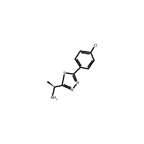 C[C@H](N)c1nnc(-c2ccc(Cl)cc2)s1